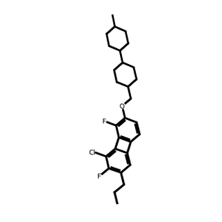 CCCc1cc2c(c(Cl)c1F)-c1c-2ccc(OCC2CCC(C3CCC(C)CC3)CC2)c1F